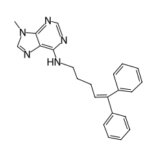 Cn1cnc2c(NCCCC=C(c3ccccc3)c3ccccc3)ncnc21